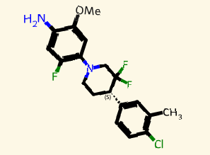 COc1cc(N2CC[C@@H](c3ccc(Cl)c(C)c3)C(F)(F)C2)c(F)cc1N